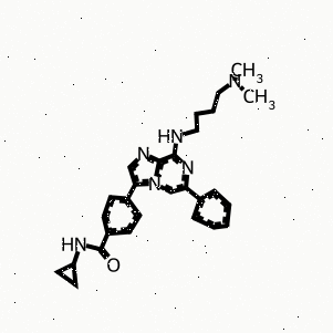 CN(C)CCCCNc1nc(-c2ccccc2)cn2c(-c3ccc(C(=O)NC4CC4)cc3)cnc12